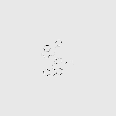 C=CC1C[N+]2(Cc3c4ccccc4cc4ccccc34)CCC1C[C@H]2C(OCc1ccccc1)c1ccnc2ccccc12